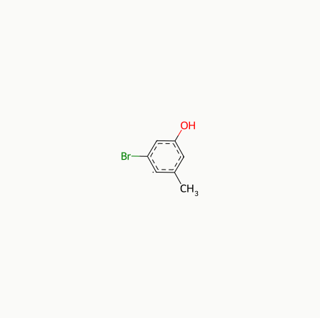 Cc1[c]c(Br)cc(O)c1